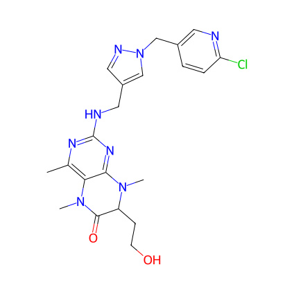 Cc1nc(NCc2cnn(Cc3ccc(Cl)nc3)c2)nc2c1N(C)C(=O)C(CCO)N2C